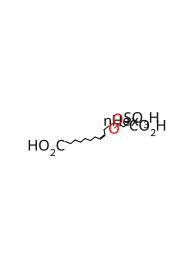 CCCCCC[C@H](C/C=C\CCCCCCCC(=O)O)OC(=O)CC(C(=O)O)S(=O)(=O)O